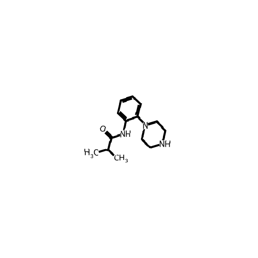 CC(C)C(=O)Nc1ccccc1N1CCNCC1